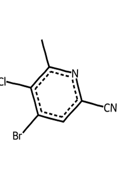 Cc1nc(C#N)cc(Br)c1Cl